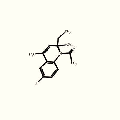 CCC1(C)C=C(C)c2cc(F)ccc2N1C(C)=O